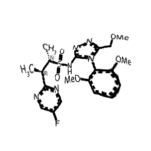 COCc1nnc(NS(=O)(=O)[C@@H](C)[C@H](C)c2ncc(F)cn2)n1-c1c(OC)cccc1OC